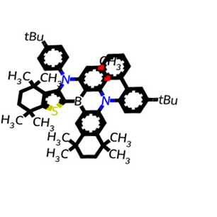 Cc1cc2c3c(c1)N(c1ccc(C(C)(C)C)cc1)c1c(sc4c1C(C)(C)CCC4(C)C)B3c1cc3c(cc1N2c1ccc(C(C)(C)C)cc1-c1ccccc1)C(C)(C)CCC3(C)C